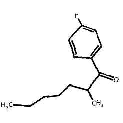 CCCCCC(C)C(=O)c1ccc(F)cc1